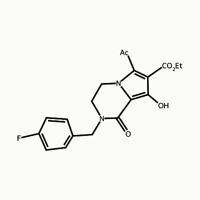 CCOC(=O)c1c(O)c2n(c1C(C)=O)CCN(Cc1ccc(F)cc1)C2=O